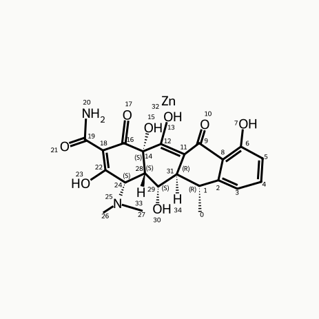 C[C@H]1c2cccc(O)c2C(=O)C2=C(O)[C@]3(O)C(=O)C(C(N)=O)=C(O)[C@@H](N(C)C)[C@H]3[C@@H](O)[C@@H]21.[Zn]